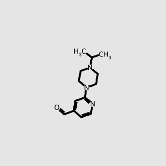 CC(C)N1CCN(c2cc(C=O)ccn2)CC1